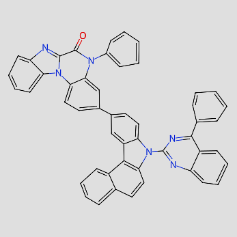 O=c1c2nc3ccccc3n2c2ccc(-c3ccc4c(c3)c3c5ccccc5ccc3n4-c3nc(-c4ccccc4)c4ccccc4n3)cc2n1-c1ccccc1